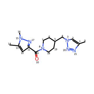 Cc1cn(CC2CCN(C(=O)c3cc(C)n(C)n3)CC2)nn1